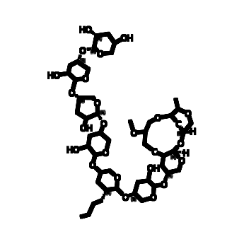 CCCC[C@@H]1CC(OC2OCC(O[C@H]3OC[C@@H](OC4OC[C@@H](O[C@H]5OCC(O)C[C@H]5O)CC4O)CC3O)CC2O)COC1O[C@@H]1COC(O[C@@H]2CO[C@@H]3O[C@@H]4COC(C)C(C4)OCC(OC)CCC3C2)C(O)C1